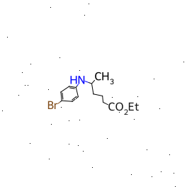 CCOC(=O)CCCC(C)Nc1ccc(Br)cc1